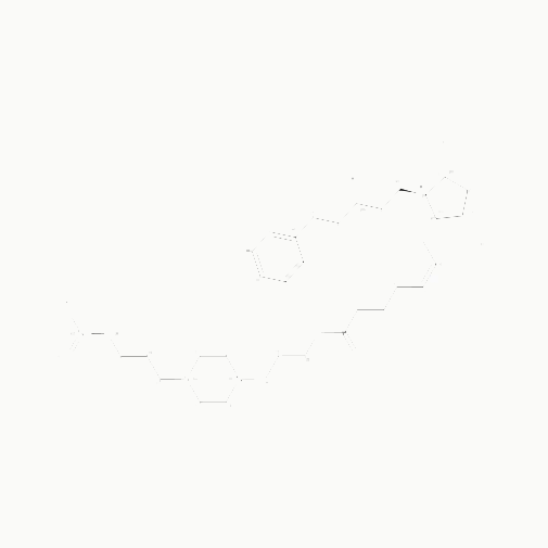 O=C(CCC/C=C\C[C@@H]1[C@@H](CC[C@@H](O)CCc2ccccc2)[C@H](O)C[C@@H]1O)OCCCN1CCN(CCCO[N+](=O)[O-])CC1